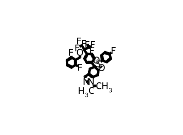 CC(C)n1ncc2c1CCC(c1ccc(C(OCc3c(F)cccc3F)(C(F)(F)F)C(F)(F)F)cc1)(S(=O)(=O)c1ccc(F)cc1)C2